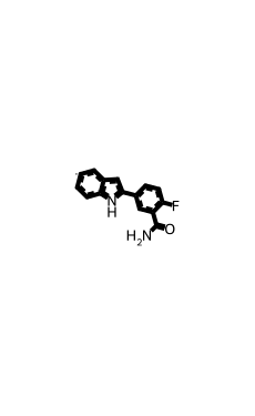 NC(=O)c1cc(-c2cc3c[c]ccc3[nH]2)ccc1F